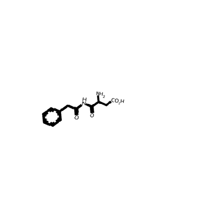 NC(CC(=O)O)C(=O)NC(=O)Cc1ccccc1